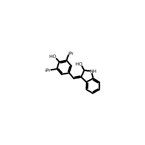 CC(C)c1cc(C=C2c3ccccc3NC2O)cc(C(C)C)c1O